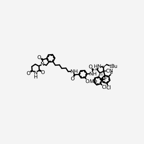 COc1cc(C(=O)NCCCCCc2cccc3c2CN(C2CCC(=O)NC2=O)C3=O)ccc1NC(=O)[C@@H]1N[C@@H](CC(C)(C)C)[C@](C#N)(c2ccc(Cl)cc2F)[C@H]1c1cccc(Cl)c1F